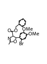 COc1cc(Br)c(C2OC(C)=NC2C(=O)OCc2ccccc2)cc1OC